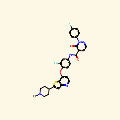 CCN1CCC(c2cc3nccc(Oc4ccc(NC(=O)c5ccnn(-c6ccc(F)cc6)c5=O)cc4F)c3s2)CC1